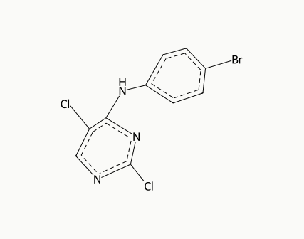 Clc1ncc(Cl)c(Nc2ccc(Br)cc2)n1